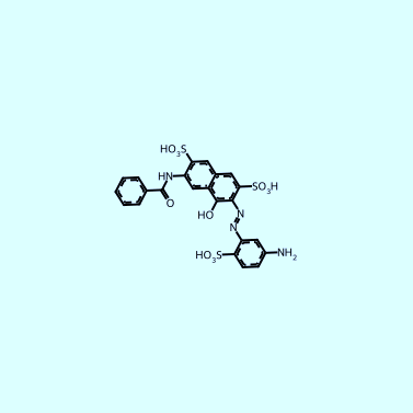 Nc1ccc(S(=O)(=O)O)c(N=Nc2c(S(=O)(=O)O)cc3cc(S(=O)(=O)O)c(NC(=O)c4ccccc4)cc3c2O)c1